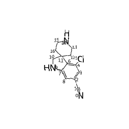 N#Cc1cc(Cl)c2c(c1)NCC21CCNCC1